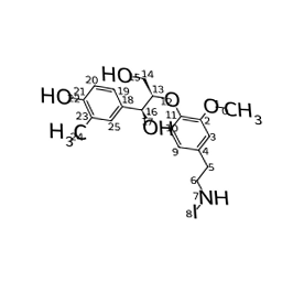 COc1cc(CCNI)ccc1O[C@H](CO)[C@@H](O)c1ccc(O)c(C)c1